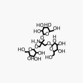 NC(CO[C@@H]1OC(CO)[C@@H](O)C(O)C1O)(CO[C@H]1OC(CO)[C@@H](O)C(O)C1O)CO[C@H]1OC(CO)[C@@H](O)C(O)C1O